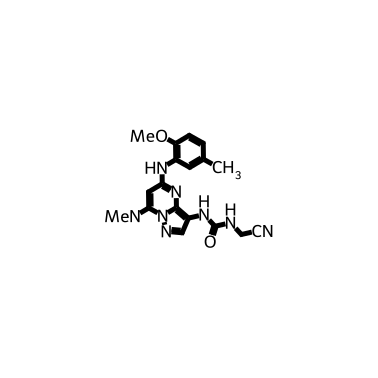 CNc1cc(Nc2cc(C)ccc2OC)nc2c(NC(=O)NCC#N)cnn12